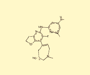 CNc1cc(C)nc(Nc2nc3c(c(C4=CCN(C)C[C@H](O)C4)c2F)OCC3)c1